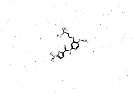 COc1ccc(NC(=O)c2ccc([N+](=O)[O-])o2)cc1OCCN(C)C